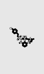 COc1cccc(OC)c1-n1c(NS(=O)(=O)CCc2ccc(Cl)cc2)nnc1-c1ncc(C)s1